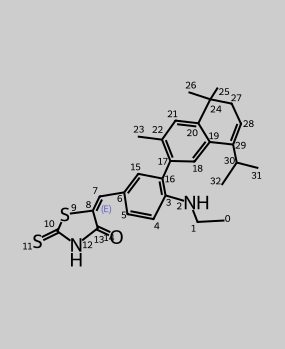 CCNc1ccc(/C=C2/SC(=S)NC2=O)cc1-c1cc2c(cc1C)C(C)(C)CC=C2C(C)C